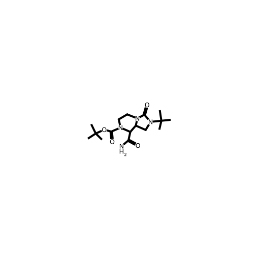 CC(C)(C)OC(=O)N1CCN2C(=O)N(C(C)(C)C)CC2C1C(N)=O